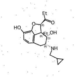 CCC(=O)[C@@H]1Oc2c(O)ccc3c2[C@]1(CC)[C@H](O)[C@H](NCC1CC1)C3